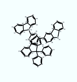 c1ccc(C(c2ccccc2)(c2ccccc2)c2ccccc2-c2nc(-c3ccc4sc5ccccc5c4c3)nc(-n3c4ccccc4c4ccccc43)n2)cc1